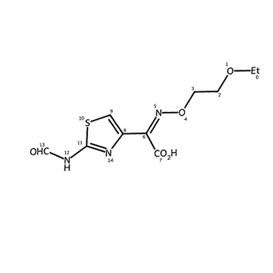 CCOCCON=C(C(=O)O)c1csc(NC=O)n1